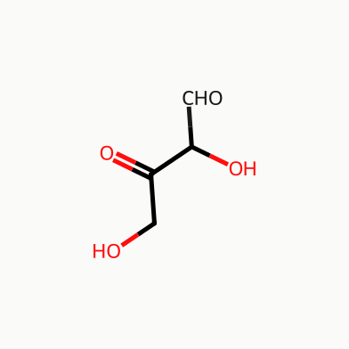 O=CC(O)C(=O)CO